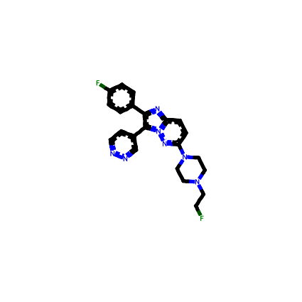 FCCN1CCN(c2ccc3nc(-c4ccc(F)cc4)c(-c4ccnnc4)n3n2)CC1